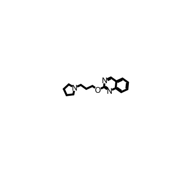 c1ccc2nc(OCCCN3CCCC3)ncc2c1